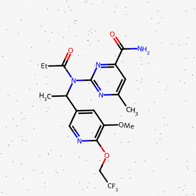 CCC(=O)N(c1nc(C)cc(C(N)=O)n1)C(C)c1cnc(OCC(F)(F)F)c(OC)c1